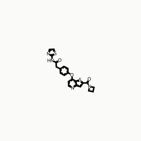 O=C(Cc1ccc(Oc2ccnc3cc(C(=O)N4CCC4)sc23)cc1)Nc1nccs1